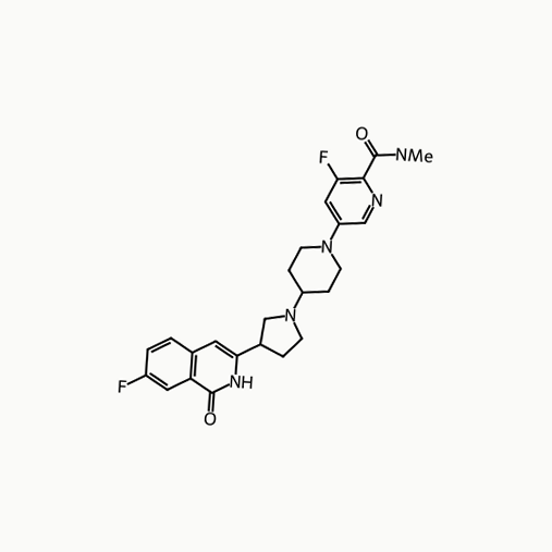 CNC(=O)c1ncc(N2CCC(N3CCC(c4cc5ccc(F)cc5c(=O)[nH]4)C3)CC2)cc1F